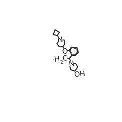 [CH2]C(c1ccccc1OC1CCN(C2CCC2)CC1)N1CCC(O)CC1